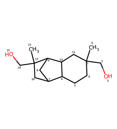 CC1(CO)CCC2C3CC(C2C1)C(C)(CO)C3